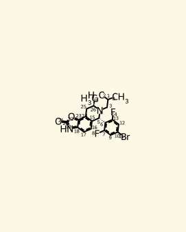 CC(C)CN1[C@H](c2c(F)cc(Br)cc2F)c2ccc3[nH]c(=O)oc3c2C[C@H]1C